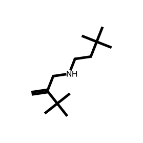 C=C(CNCCC(C)(C)C)C(C)(C)C